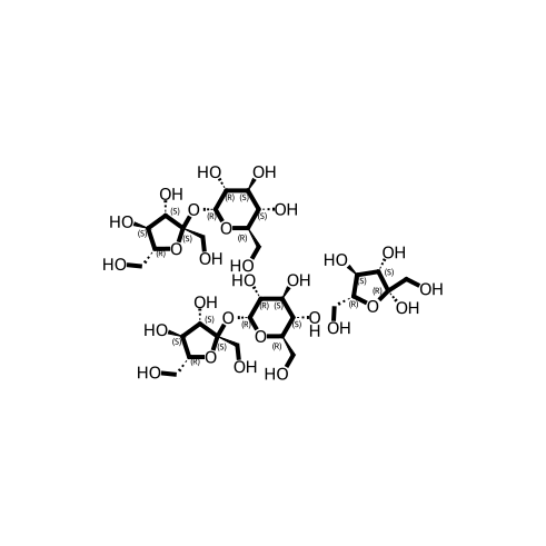 OC[C@H]1O[C@@](CO)(O[C@H]2O[C@H](CO)[C@@H](O)[C@H](O)[C@H]2O)[C@@H](O)[C@@H]1O.OC[C@H]1O[C@@](CO)(O[C@H]2O[C@H](CO)[C@@H](O)[C@H](O)[C@H]2O)[C@@H](O)[C@@H]1O.OC[C@H]1O[C@](O)(CO)[C@@H](O)[C@@H]1O